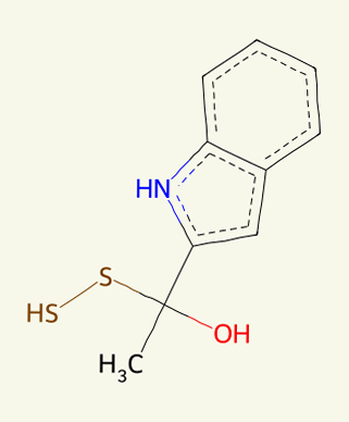 CC(O)(SS)c1cc2ccccc2[nH]1